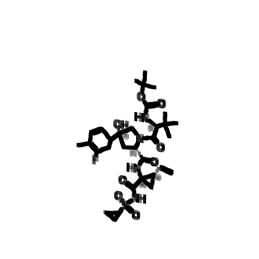 C=C[C@@H]1C[C@]1(NC(=O)[C@@H]1C[C@@](O)(C2C=CC(C)=C(F)C2)CN1C(=O)[C@@H](NC(=O)OC(C)(C)C)C(C)(C)C)C(=O)NS(=O)(=O)C1CC1